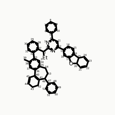 CCC(c1nc(-c2ccccc2)cc(-c2ccc3c(c2)OC2C=CC=CC32)n1)c1ccccc1-c1cc2c(cc1C)C1=C(CCC=C1)C(c1ccccc1)CC2